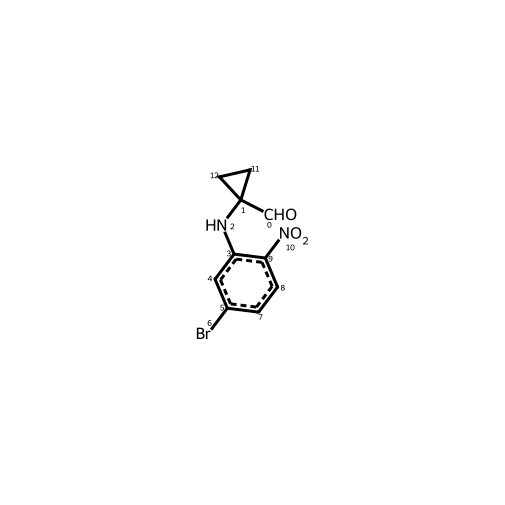 O=CC1(Nc2cc(Br)ccc2[N+](=O)[O-])CC1